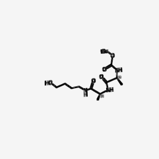 C[C@H](NC(=O)OC(C)(C)C)C(=O)N[C@@H](C)C(=O)NCCCCO